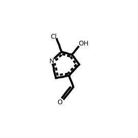 O=Cc1cnc(Cl)c(O)c1